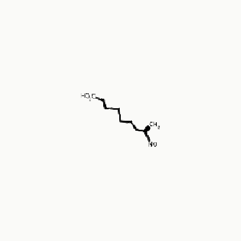 C=C(CCCCCCC(=O)O)N=O